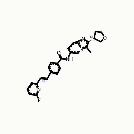 Cc1c([C@@H]2CCOC2)nc2ccc(NC(=O)c3ccc(/C=C/c4cccc(F)n4)cc3)cn12